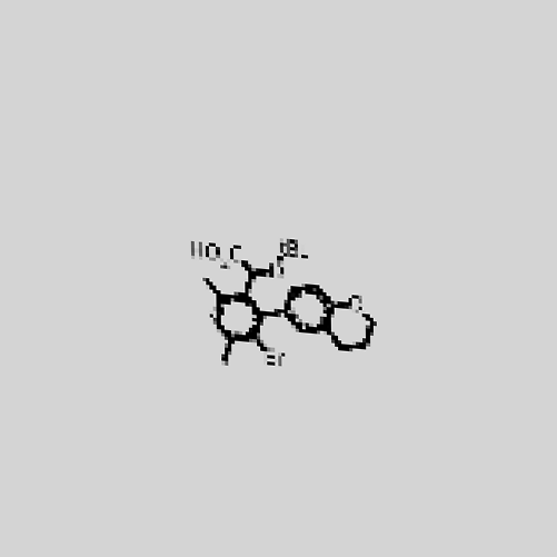 Cc1nc(C)c(C(OC(C)(C)C)C(=O)O)c(-c2ccc3c(c2)CCCO3)c1Br